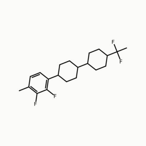 Cc1ccc(C2CCC(C3CCC(C(C)(F)F)CC3)CC2)c(F)c1F